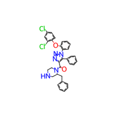 O=C(c1nnn(-c2ccccc2Oc2ccc(Cl)cc2Cl)c1-c1ccccc1)N1CCNCC1Cc1ccccc1